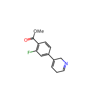 COC(=O)c1ccc(C2=CCC=NC2)cc1F